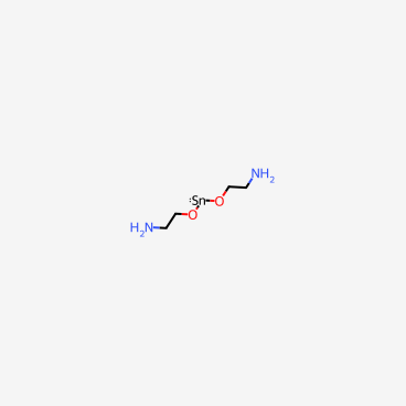 NCC[O][Sn][O]CCN